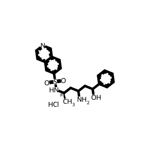 C[C@H](CC(N)CC(O)c1ccccc1)NS(=O)(=O)c1ccc2cnccc2c1.Cl